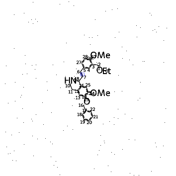 CCOCc1cc(/C=C/C2NCCc3cc(OCc4ccccc4)c(OC)cc32)ccc1OC